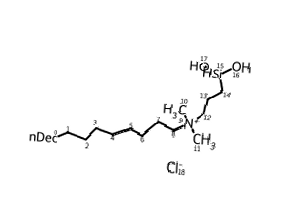 CCCCCCCCCCCCCCCCCC[N+](C)(C)CCC[SiH](O)O.[Cl-]